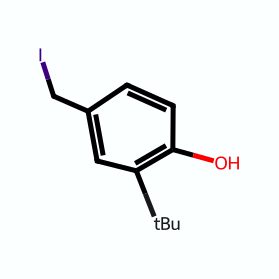 CC(C)(C)c1cc(CI)ccc1O